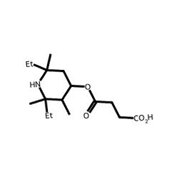 CCC1(C)CC(OC(=O)CCC(=O)O)C(C)C(C)(CC)N1